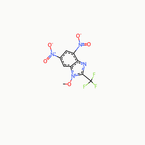 COn1c(C(F)(F)F)nc2c([N+](=O)[O-])cc([N+](=O)[O-])cc21